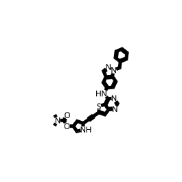 CN(C)C(=O)OC1CNC(C#Cc2cc3ncnc(Nc4ccc5c(cnn5Cc5ccccc5)c4)c3s2)C1